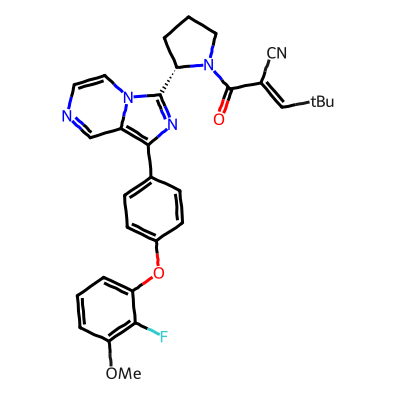 COc1cccc(Oc2ccc(-c3nc([C@@H]4CCCN4C(=O)/C(C#N)=C/C(C)(C)C)n4ccncc34)cc2)c1F